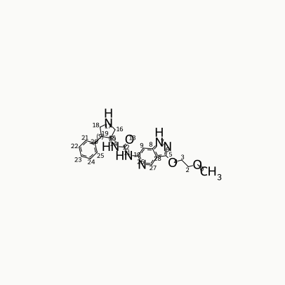 COCCOc1n[nH]c2cc(NC(=O)N[C@H]3CNC[C@@H]3c3ccccc3)ncc12